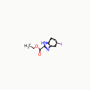 CCOC(=O)c1nc2cc(I)ccc2[nH]1